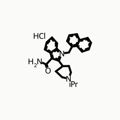 CC(C)N1CCC(c2c(C(N)=O)c3ccccc3n2Cc2cccc3ccccc23)CC1.Cl